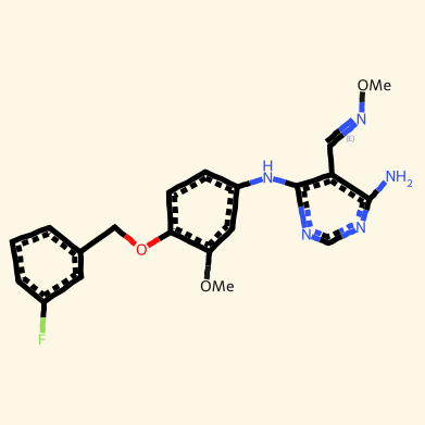 CO/N=C/c1c(N)ncnc1Nc1ccc(OCc2cccc(F)c2)c(OC)c1